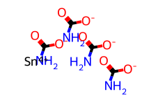 NC(=O)[O-].NC(=O)[O-].NC(=O)[O-].NC(=O)[O-].[Sn+4]